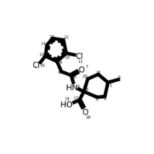 CC1CCC(NC(=O)Cc2c(Cl)cccc2Cl)(C(=O)O)CC1